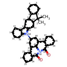 CC1(C)c2ccccc2-c2cc3c4ccccc4n(-c4cc5c6ccccc6c(=O)n6c(=O)c7ccccc7c(c4)c56)c3cc21